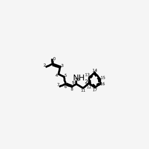 CC(C)=CCCC(C)=CC(N)Cc1ccccc1